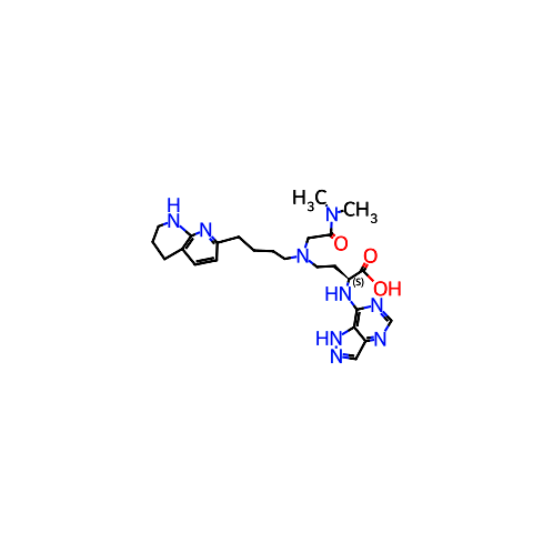 CN(C)C(=O)CN(CCCCc1ccc2c(n1)NCCC2)CC[C@H](Nc1ncnc2cn[nH]c12)C(=O)O